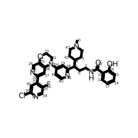 CN1CCC(C(CCNC(=O)c2ccccc2O)c2cc(N3CCOc4cnc(-c5cc(Cl)ncc5F)cc43)ccn2)CC1